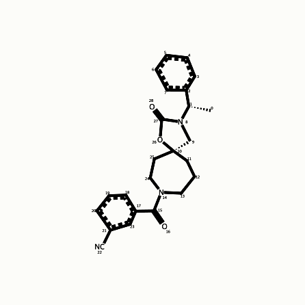 C[C@@H](c1ccccc1)N1C[C@@]2(CCCN(C(=O)c3cccc(C#N)c3)CC2)OC1=O